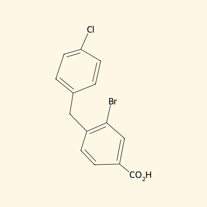 O=C(O)c1ccc(Cc2ccc(Cl)cc2)c(Br)c1